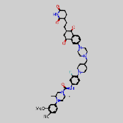 COc1cc(N2C[C@@H](C)N(C(=O)Nc3ccc(N4CCC(CN5CCN(c6ccc7c(c6)C(=O)CC(CCC6CCC(=O)NC6=O)C7=O)CC5)CC4)c(F)c3)C[C@@H]2C)ccc1C#N